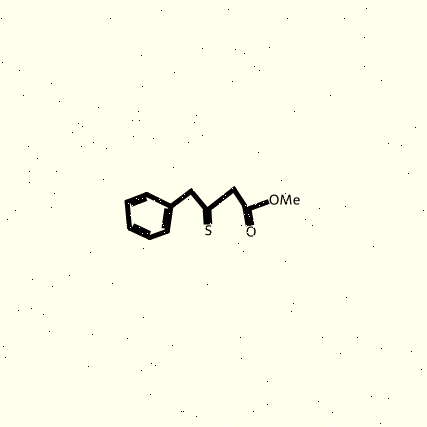 COC(=O)CC(=S)Cc1ccccc1